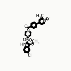 COc1c(S(=O)(=O)N2CCN(C(=O)c3ccc(-c4cc[n+]([O-])c(C)c4)cc3)CC2)[nH]c2ccc(Cl)cc12